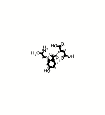 Cc1nn(CC(C)N)c2cc(O)ccc12.O=C(O)C=CC(=O)O